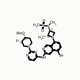 CO[C@@H]1CCN(c2nccc(Nc3cc4c(C(C)C)ccc(N5C[C@H](N(C)S(C)(=O)=O)[C@H]5C)c4cn3)n2)C[C@@H]1F